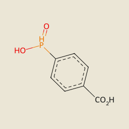 O=C(O)c1ccc([PH](=O)O)cc1